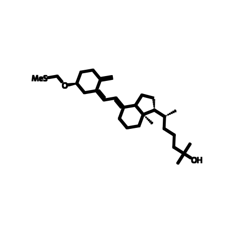 C=C1CC[C@H](OCSC)C/C1=C/C=C1\CCC[C@@]2(C)C1CC[C@@H]2[C@H](C)CCCC(C)(C)O